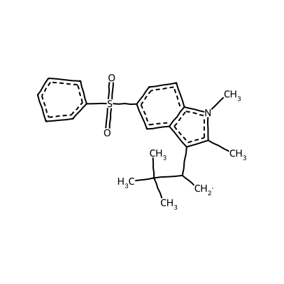 [CH2]C(c1c(C)n(C)c2ccc(S(=O)(=O)c3ccccc3)cc12)C(C)(C)C